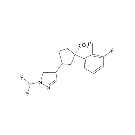 Cc1c(F)cccc1[C@]1(C(=O)O)CCC(c2cnn(C(F)F)c2)C1